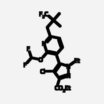 CCOC(=O)c1nn(CC)c(-c2ccc(CC(C)(C)C(F)(F)F)nc2OC(F)F)c1Cl